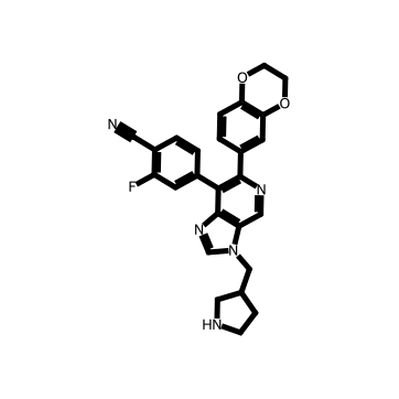 N#Cc1ccc(-c2c(-c3ccc4c(c3)OCCO4)ncc3c2ncn3CC2CCNC2)cc1F